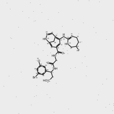 O=C(O)CC(NC(=O)CNC(=O)C1=CC(NC2=NCCC(F)CN2)=C2C=NNC(=C1)C2)c1cc(Cl)cc(Br)c1